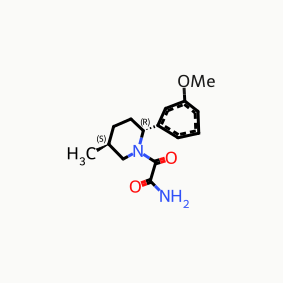 COc1cccc([C@H]2CC[C@H](C)CN2C(=O)C(N)=O)c1